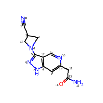 N#CC1CN(c2n[nH]c3cc(CC(N)=O)ncc23)C1